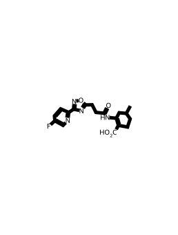 CC1CCC(C(=O)O)=C(NC(=O)CCc2nc(-c3ccc(F)cn3)no2)C1